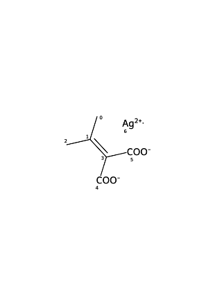 CC(C)=C(C(=O)[O-])C(=O)[O-].[Ag+2]